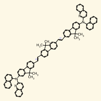 CC1(C)c2cc(/C=C/c3ccc4c(c3)C(C)(C)c3cc(N(c5ccc6ccccc6n5)c5cccc6ccccc56)ccc3-4)ccc2-c2ccc(/C=C/c3ccc4c(c3)C(C)(C)c3cc(N(c5ccc6ccccc6n5)c5cccc6ccccc56)ccc3-4)cc21